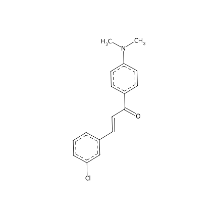 CN(C)c1ccc(C(=O)C=Cc2cccc(Cl)c2)cc1